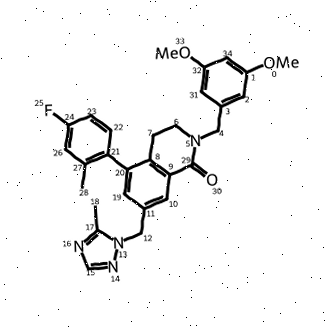 COc1cc(CN2CCc3c(cc(Cn4ncnc4C)cc3-c3ccc(F)cc3C)C2=O)cc(OC)c1